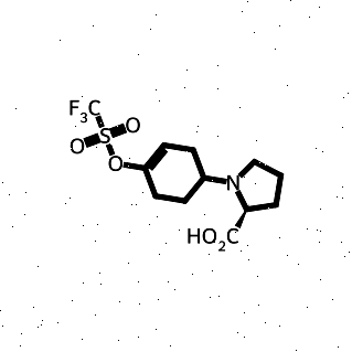 O=C(O)[C@@H]1CCCN1C1CC=C(OS(=O)(=O)C(F)(F)F)CC1